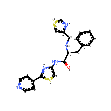 O=C(Nc1csc(-c2ccncc2)n1)[C@H](Cc1ccccc1)NCc1cscn1